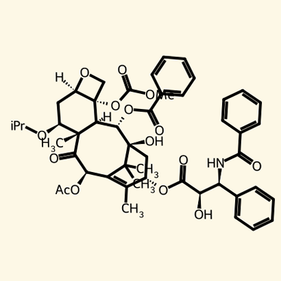 COC(=O)O[C@@]12CO[C@@H]1C[C@H](OC(C)C)[C@@]1(C)C(=O)[C@H](OC(C)=O)C3=C(C)[C@@H](OC(=O)[C@H](O)[C@@H](NC(=O)c4ccccc4)c4ccccc4)C[C@@](O)([C@@H](OC(=O)c4ccccc4)[C@H]21)C3(C)C